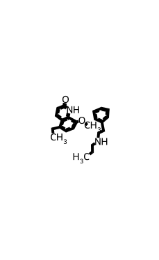 CCCNCCc1ccccc1.CCc1ccc(OC)c2[nH]c(=O)ccc12